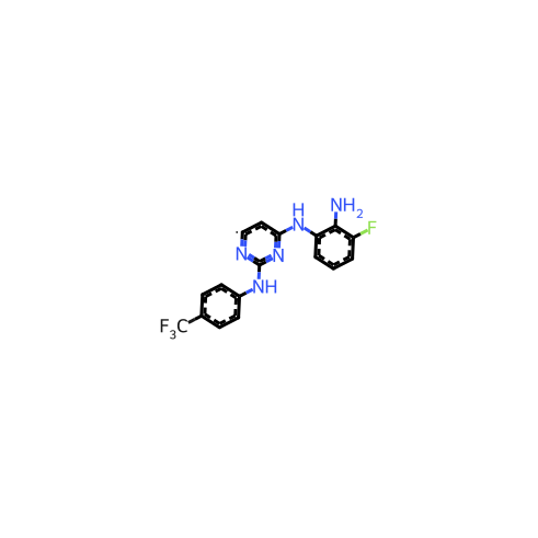 Nc1c(F)cccc1Nc1c[c]nc(Nc2ccc(C(F)(F)F)cc2)n1